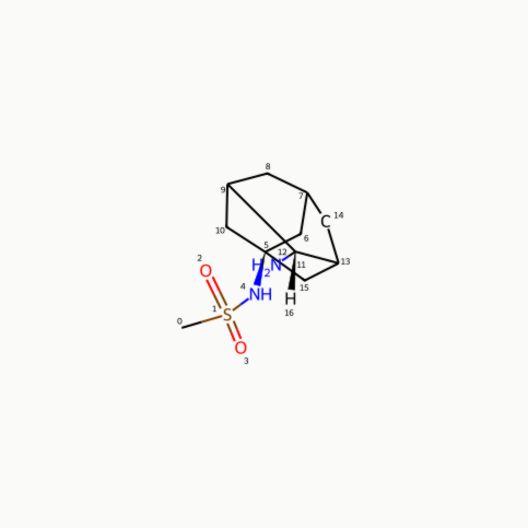 CS(=O)(=O)N[C@]12CC3CC(C1)[C@@H](N)C(C3)C2